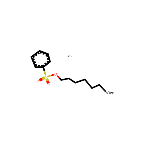 CCCCCCCCCCCCCCCCOS(=O)(=O)c1ccccc1.[Pr]